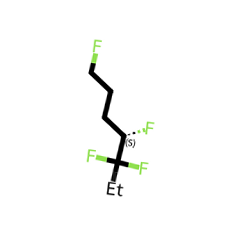 [CH2]CC(F)(F)[C@@H](F)CCCF